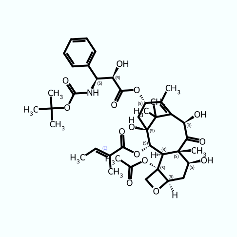 C/C=C(\C)C(=O)O[C@H]1[C@@H]2[C@]3(OC(C)=O)CO[C@@H]3C[C@H](O)[C@@]2(C)C(=O)[C@H](O)C2=C(C)[C@@H](OC(=O)[C@H](O)[C@@H](NC(=O)OC(C)(C)C)c3ccccc3)C[C@]1(O)C2(C)C